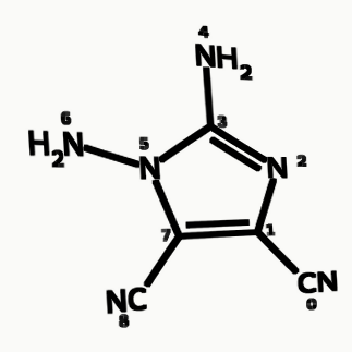 N#Cc1nc(N)n(N)c1C#N